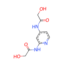 O=C(CO)Nc1ccnc(NC(=O)CO)c1